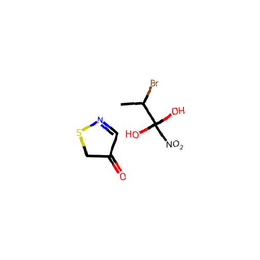 CC(Br)C(O)(O)[N+](=O)[O-].O=C1C=NSC1